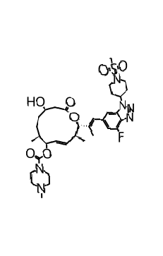 C/C(=C\c1cc(F)c2nnn(C3CCN(S(C)(=O)=O)CC3)c2c1)[C@H]1OC(=O)C[C@H](O)CC[C@H](C)C(OC(=O)N2CCN(C)CC2)/C=C/[C@@H]1C